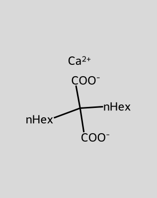 CCCCCCC(CCCCCC)(C(=O)[O-])C(=O)[O-].[Ca+2]